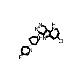 Fc1ccc([C@H]2CC[C@H](C3=c4[nH]c5c(c4CN=N3)NCC=C(Cl)C=5)CC2)nc1